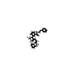 C=C(NCCc1ccccc1)c1ccc(C)c(-c2nc(SC)nc3c2ccc(=O)n3-c2c(F)cccc2F)c1